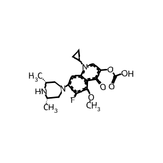 COc1c(F)c(N2C[C@@H](C)N[C@@H](C)C2)cc2c1c(=O)c(OC(=O)O)cn2C1CC1